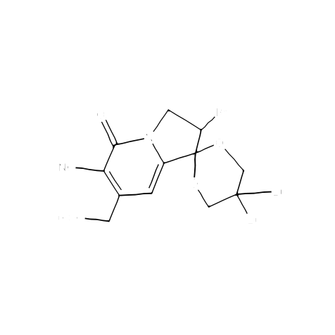 CCOC(=O)Cc1cc2n(c(=O)c1C#N)CC(Br)C21OCC(CC)(CC)CO1